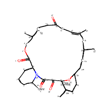 COC1CCCC2C(=O)OCC(C)CCC(=O)CC=C(C)CC(C)CCC3CCC(C)C(OC)(O3)C(=O)C(=O)N12